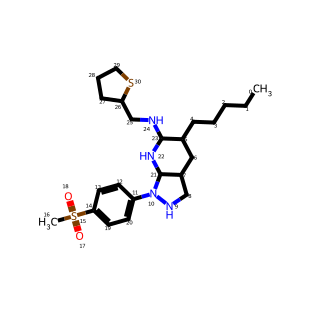 CCCCCC1CC2CNN(c3ccc(S(C)(=O)=O)cc3)C2NC1NCC1CCCS1